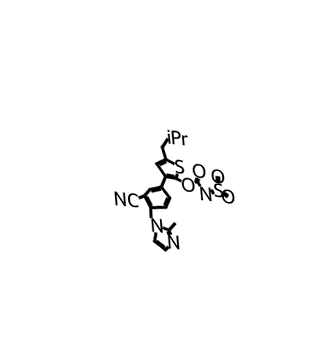 Cc1nccn1Cc1ccc(-c2cc(CC(C)C)sc2OC(=O)N=S(=O)=O)cc1C#N